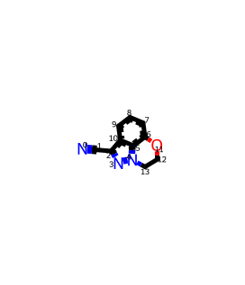 N#Cc1nn2c3c(cccc13)OCC2